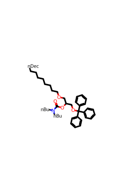 CCCCCCCCCCCCCCCCCCOCC(COC(c1ccccc1)(c1ccccc1)c1ccccc1)OC(=O)N(CCCC)CCCC